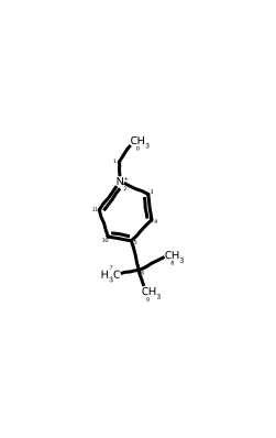 CC[n+]1ccc(C(C)(C)C)cc1